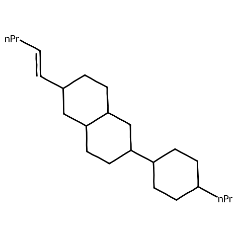 CCCC=CC1CCC2CC(C3CCC(CCC)CC3)CCC2C1